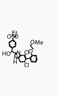 CCS(=O)(=O)c1ccc(C(O)c2nc3c([nH]2)CC(Cl)C(c2ccccc2OCCOC)=C3Cl)cc1